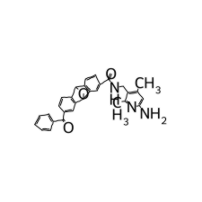 Cc1cc(N)nc(C)c1CNC(=O)c1ccc2c(c1)C1OC2c2ccc(C(=O)c3ccccc3)cc21